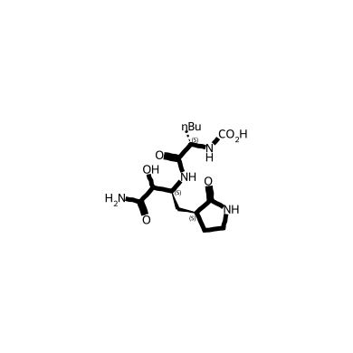 CCCC[C@H](NC(=O)O)C(=O)N[C@@H](C[C@@H]1CCNC1=O)C(O)C(N)=O